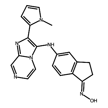 Cn1cccc1-c1nc2cnccn2c1Nc1ccc2c(c1)CC/C2=N\O